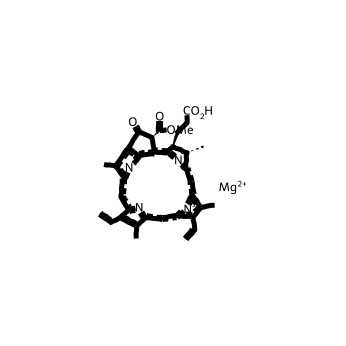 C=CC1=C(C)c2cc3[n-]c(cc4nc(c5c6[n-]c(cc1n2)c(C)c6C(=O)[C@@H]5C(=O)OC)[C@@H](CCC(=O)O)[C@@H]4C)c(C)c3C=C.[Mg+2]